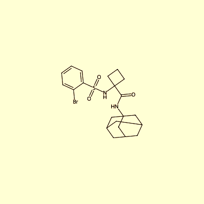 O=C(NC12CC3CC(CC(C3)C1)C2)C1(NS(=O)(=O)c2ccccc2Br)CCC1